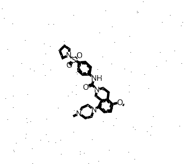 COc1ccc(N2CCN(C)CC2)c2c1CCN(C(=O)Nc1ccc(S(=O)(=O)N3CCCC3)cc1)C2